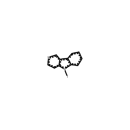 In1c2ccccc2c2cnccc21